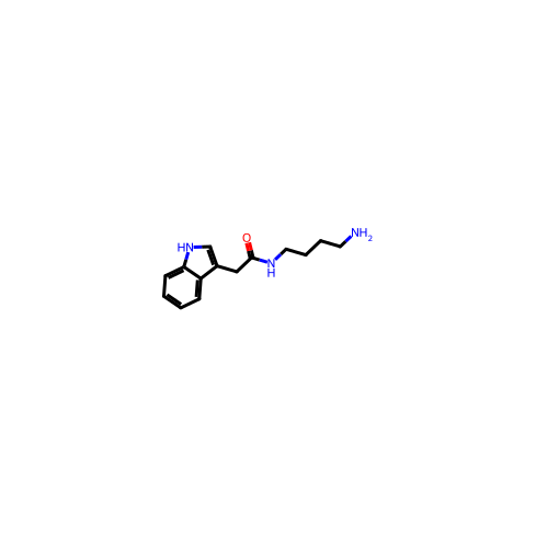 NCCCCNC(=O)Cc1c[nH]c2ccccc12